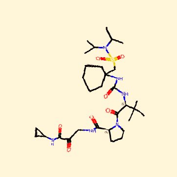 CC(C)N(C(C)C)S(=O)(=O)CC1(NC(=O)N[C@H](C(=O)N2CCC[C@H]2C(=O)NCC(=O)C(=O)NC2CC2)C(C)(C)C)CCCCC1